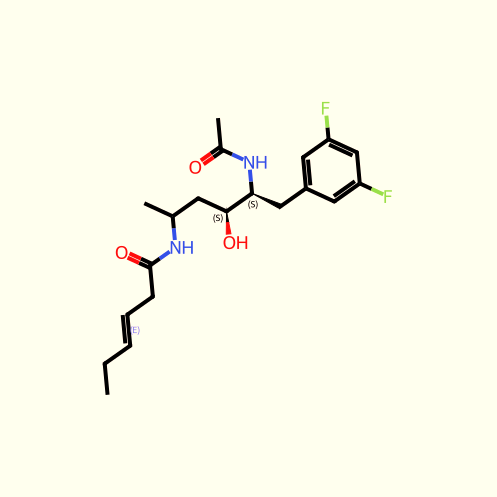 CC/C=C/CC(=O)NC(C)C[C@H](O)[C@H](Cc1cc(F)cc(F)c1)NC(C)=O